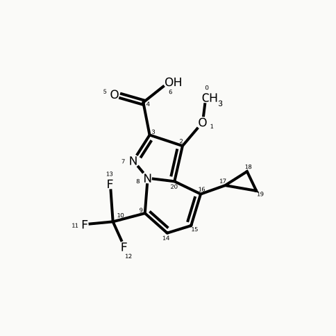 COc1c(C(=O)O)nn2c(C(F)(F)F)ccc(C3CC3)c12